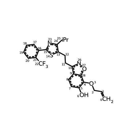 C=CCOc1c(O)ccc2c(CCc3sc(-c4ccccc4C(F)(F)F)nc3C(C)C)noc12